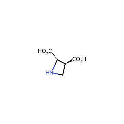 O=C(O)[C@H]1CN[C@@H]1C(=O)O